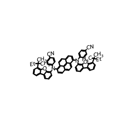 CCC(C)(C)c1cccc2c1oc1c(N(c3ccc(C#N)cc3)c3ccc4ccc5c(N(c6ccc(C#N)cc6)c6cccc7c6oc6c(C(C)(C)CC)cccc67)ccc6ccc3c4c65)cccc12